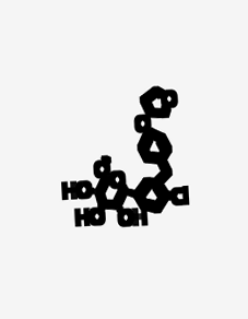 CO[C@H]1O[C@@H](c2ccc(Cl)c(Cc3ccc(O[C@@H]4CCOC4)cc3)c2)[C@H](O)[C@@H](O)[C@@H]1O